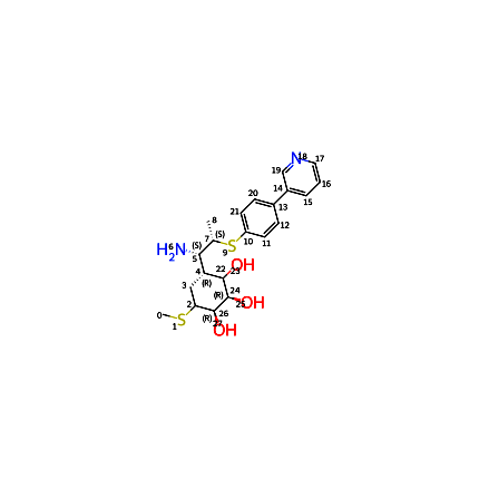 CSC1C[C@H]([C@H](N)[C@H](C)Sc2ccc(-c3cccnc3)cc2)C(O)[C@@H](O)[C@H]1O